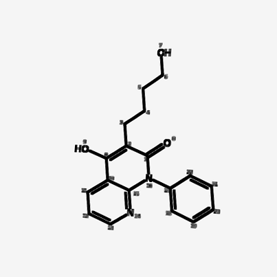 O=c1c(CCCCO)c(O)c2cccnc2n1-c1ccccc1